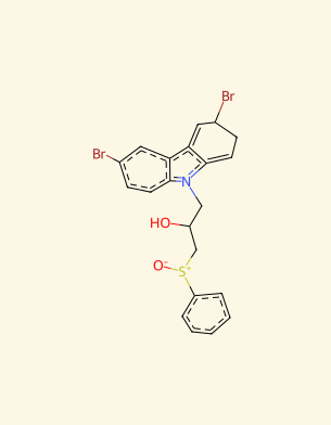 [O-][S+](CC(O)Cn1c2c(c3cc(Br)ccc31)=CC(Br)CC=2)c1ccccc1